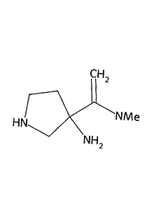 C=C(NC)C1(N)CCNC1